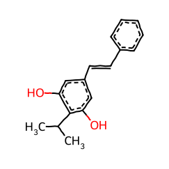 CC(C)c1c(O)cc(/C=C/c2ccccc2)cc1O